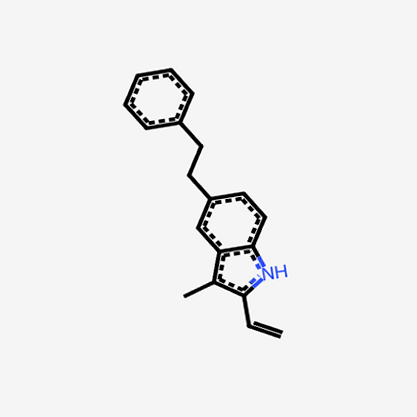 C=Cc1[nH]c2ccc(CCc3ccccc3)cc2c1C